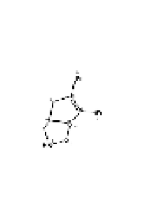 CC(C)C1=C(C(C)C)N2SNCC2C1